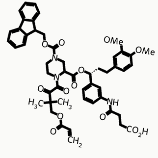 C=CC(=O)OCC(C)(C)C(=O)C(=O)N1CCN(C(=O)OCC2c3ccccc3-c3ccccc32)CC1C(=O)O[C@H](CCc1ccc(OC)c(OC)c1)c1cccc(NC(=O)CCC(=O)O)c1